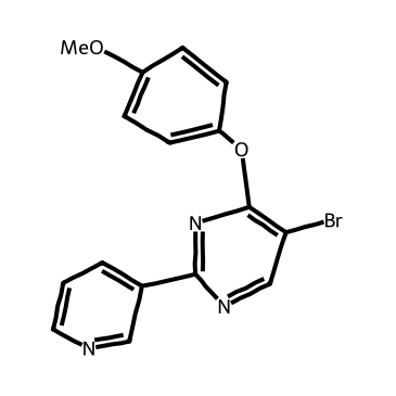 COc1ccc(Oc2nc(-c3cccnc3)ncc2Br)cc1